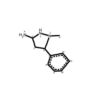 CN1NC(N)CC1c1ccccc1